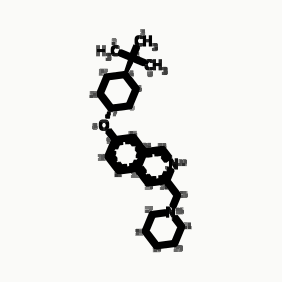 CC(C)(C)[C@H]1CC[C@H](Oc2ccc3cc(CN4CCCCC4)ncc3c2)CC1